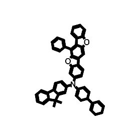 CC1(C)c2ccccc2-c2ccc(N(C3=CCC(C4=CCCC=C4)C=C3)c3ccc4c(c3)oc3c(-c5ccccc5)c5c(cc34)oc3ccccc35)cc21